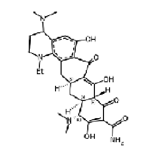 CCN1CCC(N(C)C)c2cc(O)c3c(c21)C[C@@H]1C[C@H]2[C@@H](C(=O)C(C(N)=O)=C(O)[C@@H]2N(C)C)C(O)=C1C3=O